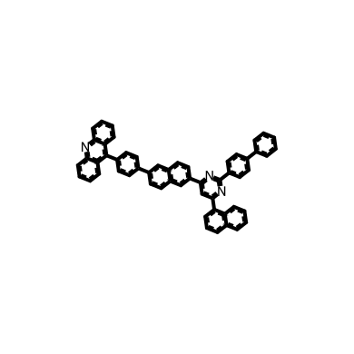 c1ccc(-c2ccc(-c3nc(-c4ccc5cc(-c6ccc(-c7c8ccccc8nc8ccccc78)cc6)ccc5c4)cc(-c4cccc5ccccc45)n3)cc2)cc1